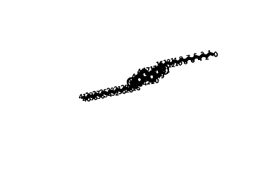 CCCCCCCCCCCCCCc1cc2cc3c(ccc4c5cc6cc(CCCCCCCCCCCCCC)oc6cc5ccc34)cc2o1